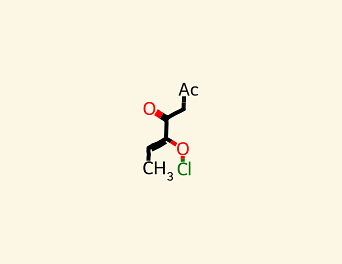 CC=C(OCl)C(=O)CC(C)=O